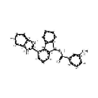 O=C(NC1c2ccccc2-c2c(-c3nc4ccncc4[nH]3)cccc21)c1cccc(O)c1